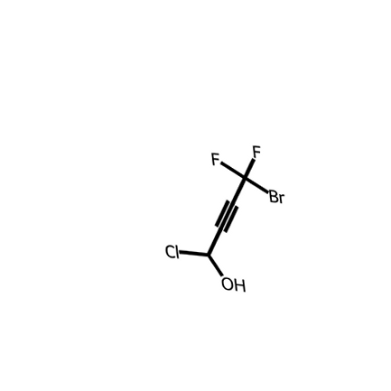 OC(Cl)C#CC(F)(F)Br